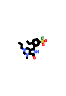 CCCN1CC2=C(C(=O)NC2c2cc(S(=O)(=O)Cl)ccc2CC)N(C)C1